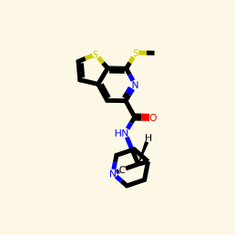 CSc1nc(C(=O)N[C@H]2CN3CCC2CC3)cc2ccsc12